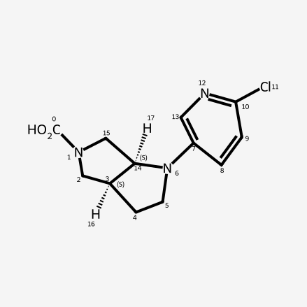 O=C(O)N1C[C@@H]2CCN(c3ccc(Cl)nc3)[C@@H]2C1